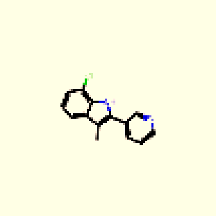 Cc1c(-c2cccnc2)[nH]c2c(Cl)cccc12